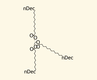 CCCCCCCCCCCCCCCCCCCCCC(=O)OC[C@@H](COC(=O)CCCCCCCCCCCCCCCCCCC)OC(=O)CCCCCCCCCCCCCCCCCCCCC